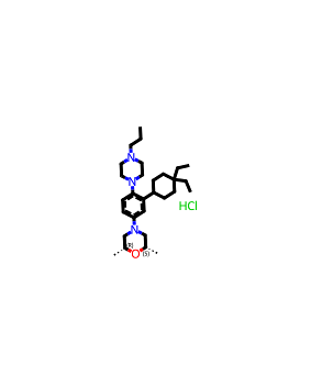 CCCN1CCN(c2ccc(N3C[C@@H](C)O[C@@H](C)C3)cc2C2CCC(CC)(CC)CC2)CC1.Cl